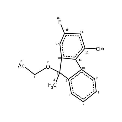 CC(=O)COC1(C(F)(F)F)c2ccccc2-c2c(Cl)cc(F)cc21